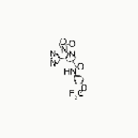 O=C(Nc1ccc(OC(F)(F)F)cc1)c1cnc(N2CCOC2=O)c(-c2cncnc2)c1